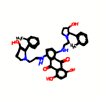 Cc1ccccc1C1C(O)CCN1CCNc1ccc(NCCN2CCC(O)C2c2ccccc2C)c2c1C(=O)c1c(O)ccc(O)c1C2=O